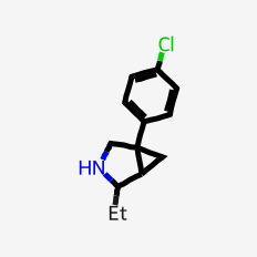 CCC1NCC2(c3ccc(Cl)cc3)CC12